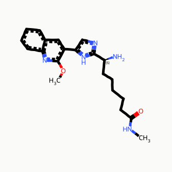 CNC(=O)CCCCC[C@H](N)c1ncc(-c2cc3ccccc3nc2OC)[nH]1